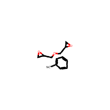 C(OCC1CO1)C1CO1.N#Cc1ccccc1